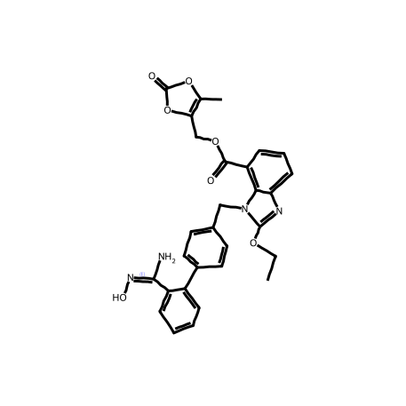 CCOc1nc2cccc(C(=O)OCc3oc(=O)oc3C)c2n1Cc1ccc(-c2ccccc2/C(N)=N\O)cc1